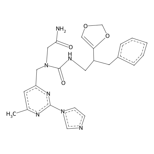 Cc1cc(CN(CC(N)=O)C(=O)NCC(Cc2ccccc2)C2=COCO2)nc(-n2ccnc2)n1